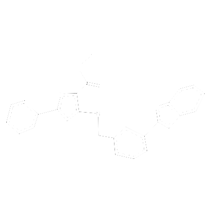 COC(=O)c1sc(-c2ccccc2)cc1NCc1cccc(-c2cc3ccccc3o2)c1